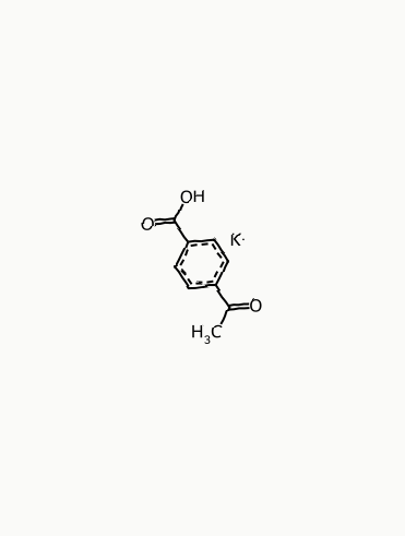 CC(=O)c1ccc(C(=O)O)cc1.[K]